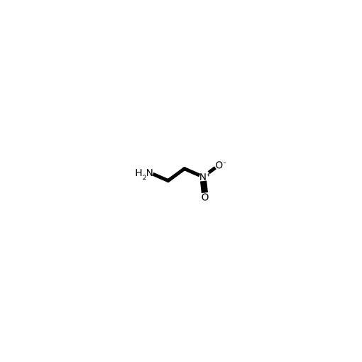 NCC[N+](=O)[O-]